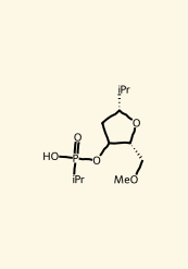 COC[C@H]1O[C@@H](C(C)C)CC1OP(=O)(O)C(C)C